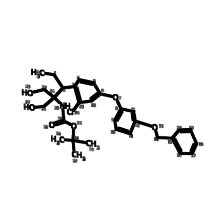 CCC(c1ccc(Oc2cccc(OCc3ccccc3)c2)cc1Cl)C(CO)(CO)NC(=O)OC(C)(C)C